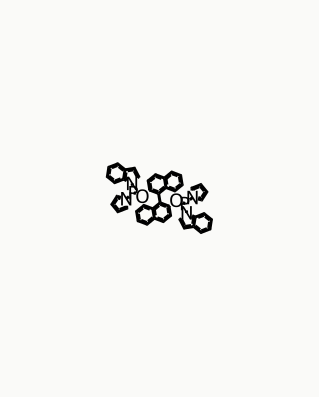 c1ccc2c(-c3c(OP(n4cccc4)n4ccc5ccccc54)ccc4ccccc34)c(OP(n3cccc3)n3ccc4ccccc43)ccc2c1